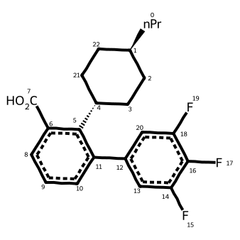 CCC[C@H]1CC[C@H](c2c(C(=O)O)cccc2-c2cc(F)c(F)c(F)c2)CC1